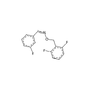 Fc1cccc(/[C]=N\OCc2c(F)cccc2F)c1